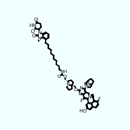 C#Cc1c(F)ccc2cc(O)cc(-c3ncc4c(N5CC6CCC(C5)N6)nc(OC[C@@]56CCCN5[C@H](COC(=O)NCCCCCCCCCCCc5cccc7c5n(C)c(=O)n7C5CCC(=O)NC5=O)CC6)nc4c3F)c12